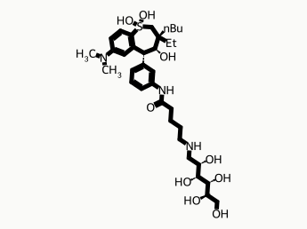 CCCC[C@]1(CC)CS(O)(O)c2ccc(N(C)C)cc2[C@@H](c2cccc(NC(=O)CCCCNC[C@H](O)[C@@H](O)[C@H](O)[C@H](O)CO)c2)[C@H]1O